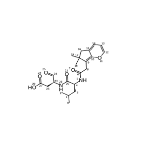 CC(C)C[C@H](NC(=O)CC1=C2OC=CC=C2CC1(C)C)C(=O)N[C@H](C=O)CC(=O)O